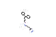 COc1ccc(/C(=C/C=C/C(=O)N[C@H](C)CCCc2cncnc2)c2ccccc2)cc1